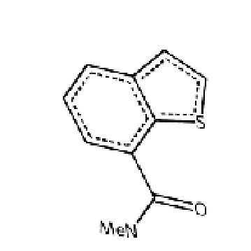 CNC(=O)c1cccc2ccsc12